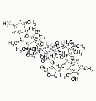 C=C1CC(C)C(C)(OC(=O)C(C)(CC(C)(C)C)C(C)(C)C(C)(O)CC(C(=O)OC2CCOC2=O)C(C)(C)C(C)(C)CC(C(=O)OC2(CC)CC(=C)CC(C)(O)C2)C(C)(C)C)C(CC)C1